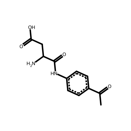 CC(=O)c1ccc(NC(=O)C(N)CC(=O)O)cc1